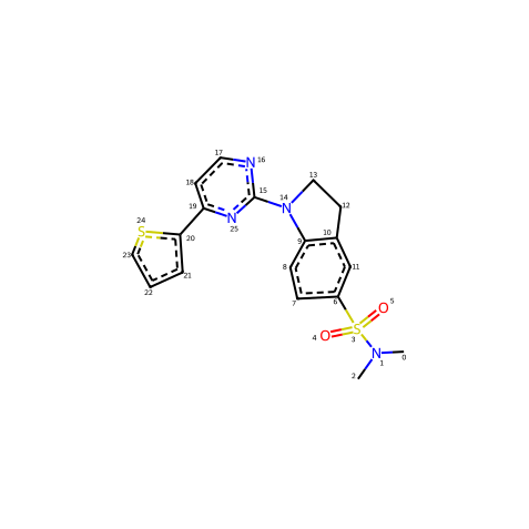 CN(C)S(=O)(=O)c1ccc2c(c1)CCN2c1nccc(-c2cccs2)n1